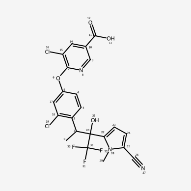 CC(c1ccc(Oc2ncc(C(=O)O)cc2Cl)cc1Cl)C(O)(c1ccc(C#N)n1C)C(F)(F)F